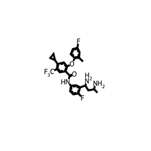 Cc1cc(F)ccc1Oc1cc(C2CC2)c(C(F)(F)F)cc1C(=O)Nc1ccc(F)c(C(N)CC(C)N)c1